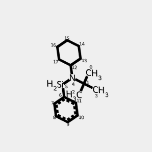 CC(C)(C)N([SiH2]c1ccccc1)C1CCCCC1